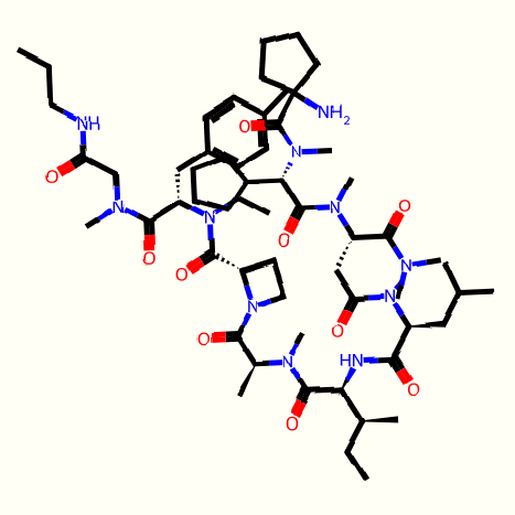 CCCNC(=O)CN(C)C(=O)[C@H](Cc1ccc(C)cc1)N(CC)C(=O)[C@@H]1CCN1C(=O)[C@H](C)N(C)C(=O)[C@@H](NC(=O)[C@H](CC(C)C)N(C)C(=O)C[C@@H](C(=O)N(C)C)N(C)C(=O)[C@H](C1CCCC1)N(C)C(=O)C1(N)CCCC1)[C@@H](C)CC